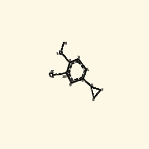 COc1c[c]c(C2CC2)cc1Cl